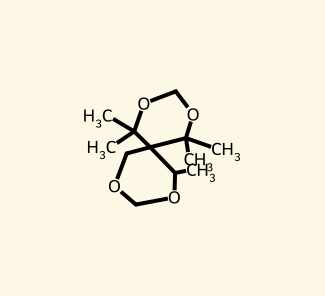 CC1OCOCC12C(C)(C)OCOC2(C)C